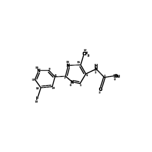 CC(C)(C)C(=O)Nc1cnc(-c2cncc(F)c2)nc1C(F)(F)F